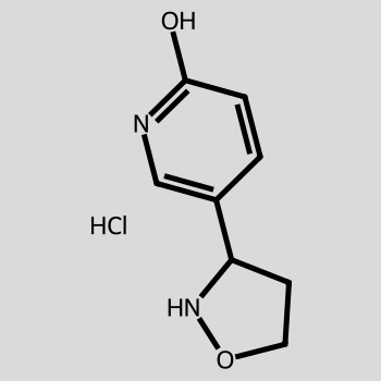 Cl.Oc1ccc(C2CCON2)cn1